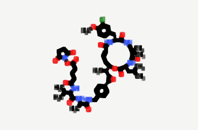 COc1ccc(C[C@H]2NC(=O)/C=C/C[C@@H](C(C)[C@H]3O[C@@H]3c3ccc(CNC(=O)C(C)NC(=O)C(NC(=O)CCCC(=O)ON4C(=O)CCC4=O)C(C)C)cc3)OC(=O)[C@H](CC(C)C)NC(=O)C(C)(C)CNC2=O)cc1Cl